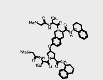 CNCC(=O)NC(C(=O)N1CC(Oc2ccc3c(c2)CN(C(=O)C(NC(=O)CNC)C(C)(C)C)C(C(=O)N[C@@H]2CCCc4ccccc42)C3)CC1C(=O)NC1CCCc2ccccc21)C(C)(C)C